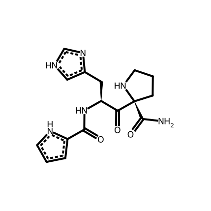 NC(=O)[C@]1(C(=O)[C@H](Cc2c[nH]cn2)NC(=O)c2ccc[nH]2)CCCN1